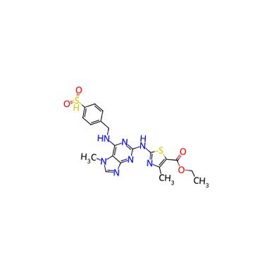 CCOC(=O)c1sc(Nc2nc(NCc3ccc([SH](=O)=O)cc3)c3c(ncn3C)n2)nc1C